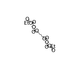 CCC1(COC(=O)c2ccc(C(=O)OCCCCCCOC(=O)c3ccc(C(=O)OCC4(CC)COC4)cc3)cc2)COC1